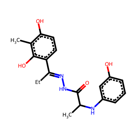 CC/C(=N\NC(=O)C(C)Nc1cccc(O)c1)c1ccc(O)c(C)c1O